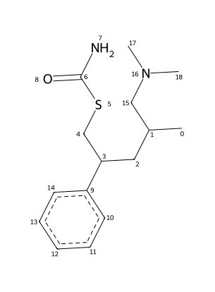 CC(CC(CSC(N)=O)c1ccccc1)CN(C)C